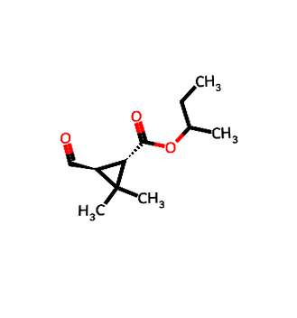 CCC(C)OC(=O)[C@H]1[C@H](C=O)C1(C)C